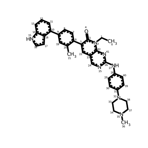 CCn1c(=O)c(-c2ccc(-c3cccc4[nH]ccc34)cc2C)cc2cnc(Nc3ccc(N4CCN(C)CC4)cc3)nc21